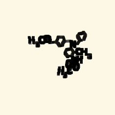 COCc1ccc(CN(Cc2ccccc2)c2cccc(NS(C)(=O)=O)c2C)cc1